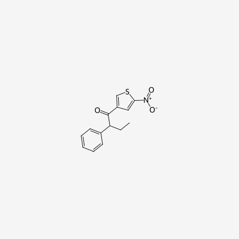 CCC(C(=O)c1csc([N+](=O)[O-])c1)c1ccccc1